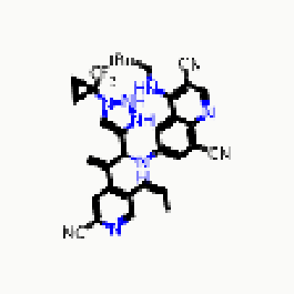 C=C(c1cc(C#N)ncc1/C=C\C)[C@H](Nc1cc(C#N)c2ncc(C#N)c(NCC(C)(C)C)c2c1)C1=CN(C2(C(F)(F)F)CC2)NN1